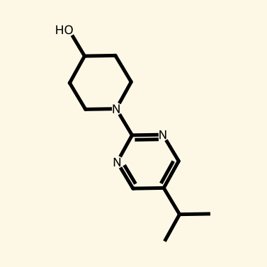 CC(C)c1cnc(N2CCC(O)CC2)nc1